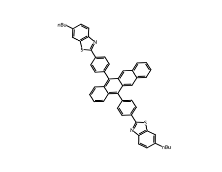 CCCCc1ccc2nc(-c3ccc(-c4c5ccccc5c(-c5ccc(-c6nc7ccc(CCCC)cc7s6)cc5)c5cc6ccccc6cc45)cc3)sc2c1